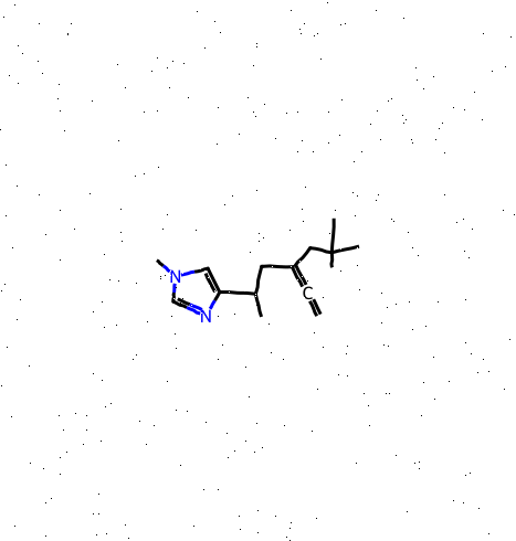 C=C=C(CC(C)c1cn(C)cn1)CC(C)(C)C